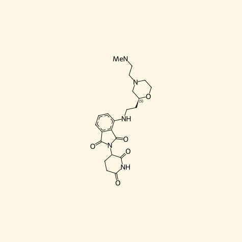 CNCCN1CCO[C@@H](CCNc2cccc3c2C(=O)N(C2CCC(=O)NC2=O)C3=O)C1